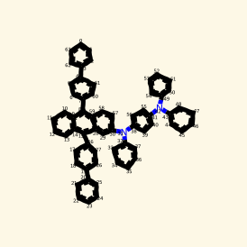 c1ccc(-c2ccc(-c3c4ccccc4c(-c4ccc(-c5ccccc5)cc4)c4cc(N(c5ccccc5)c5ccc(N(c6ccccc6)c6ccccc6)cc5)ccc34)cc2)cc1